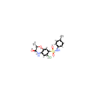 CCc1ccc(NS(=O)(=O)c2cc3c(cc2Cl)NC(=O)C(CC)O3)cc1